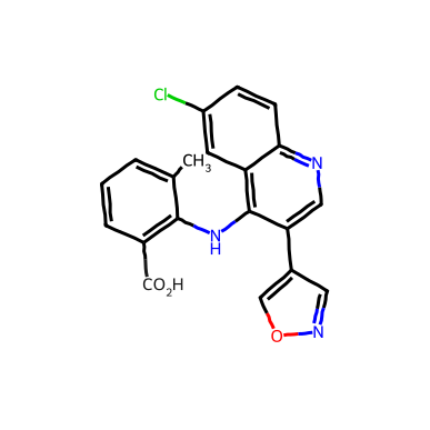 Cc1cccc(C(=O)O)c1Nc1c(-c2cnoc2)cnc2ccc(Cl)cc12